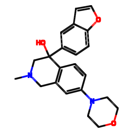 CN1Cc2cc(N3CCOCC3)ccc2C(O)(c2ccc3occc3c2)C1